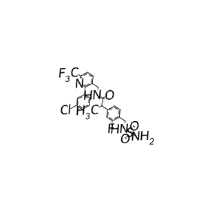 CC(C(=O)NCc1ccc(C(F)(F)F)nc1-c1cccc(Cl)c1)c1ccc(CNS(N)(=O)=O)c(F)c1